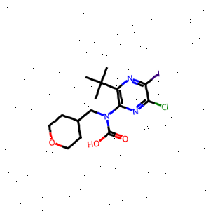 CC(C)(C)c1nc(I)c(Cl)nc1N(CC1CCOCC1)C(=O)O